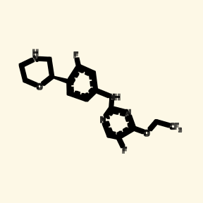 Fc1cc(Nc2ncc(F)c(OCC(F)(F)F)n2)ccc1[C@@H]1CNCCO1